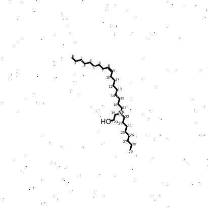 CCCCCCCC/C=C\CCCCCCCCN(CCO)CCCCCCCC